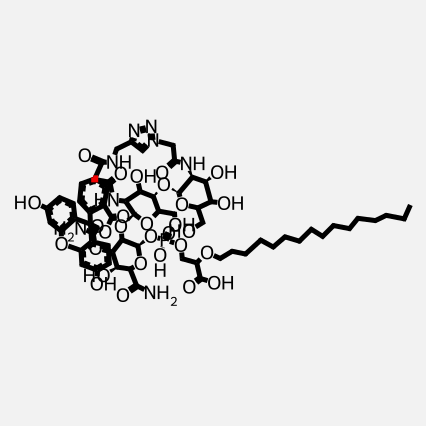 CCCCCCCCCCCCCCCCOC(COP(=O)(O)O[C@H]1OC(C(N)=O)[C@@H](O)C(OC(N)=O)C1O[C@@H]1OC(CO)[C@@H](O[C@H]2OC(CO)C(O)[C@H](O)[C@@H]2NC(=O)Cn2cc(CNC(=O)c3ccc4c(c3)C(=O)OC43c4ccc(O)cc4Oc4cc(O)ccc43)nn2)C(O)C1NC(C)=O)C(=O)O